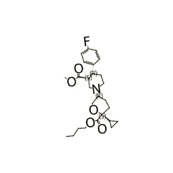 CCCCOC(=O)[C@@]1(C2CC2)CC[C@@H](N2CC[C@@H](c3ccc(F)cc3)[C@H](C(=O)OC)C2)CO1